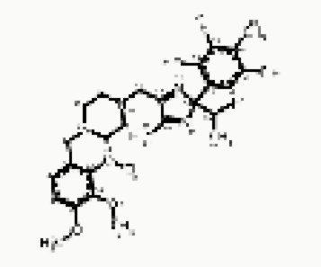 COc1ccc(CN2CCN(CC3=NC(c4cc(F)c(C)c(F)c4F)(C(C)I)N=C3C)CC2)c(OC)c1OC